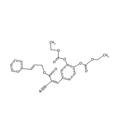 CCOC(=O)Oc1ccc(C=C(C#N)C(=O)OC/C=C/c2ccccc2)cc1OC(=O)OCC